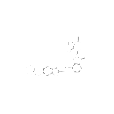 C=C1CCC(N2Cc3c(OCc4cc5ccc(CN6CCCCC6)cc5o4)cccc3C2=O)C(=O)N1